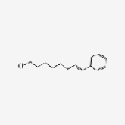 ClCCCCCCC=Cc1ccccc1